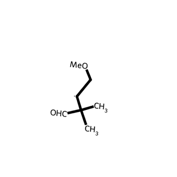 COC[CH]C(C)(C)C=O